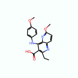 CCc1nc2ccc(OC)nc2c(Nc2ccc(OC)cc2)c1C(=O)O